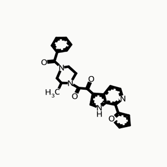 CC1CN(C(=O)c2ccccc2)CCN1C(=O)C(=O)c1c[nH]c2c(-c3ccco3)nccc12